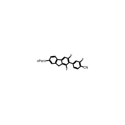 CCCCCc1ccc2c(c1)Cc1c-2cc(F)c(-c2ccc(C#N)c(F)c2)c1F